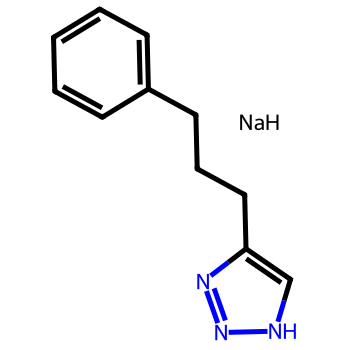 [NaH].c1ccc(CCCc2c[nH]nn2)cc1